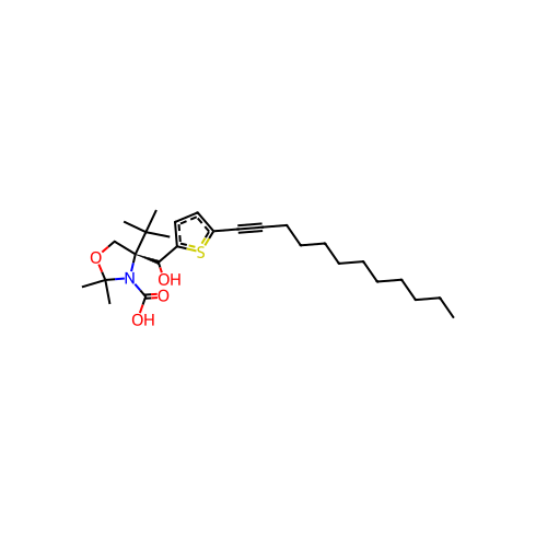 CCCCCCCCCCC#Cc1ccc(C(O)[C@]2(C(C)(C)C)COC(C)(C)N2C(=O)O)s1